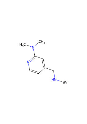 CC(C)NCc1ccnc(N(C)C)c1